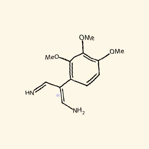 COc1ccc(/C(C=N)=C\N)c(OC)c1OC